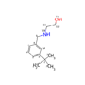 CC(C)(C)c1cccc(CNCCO)c1